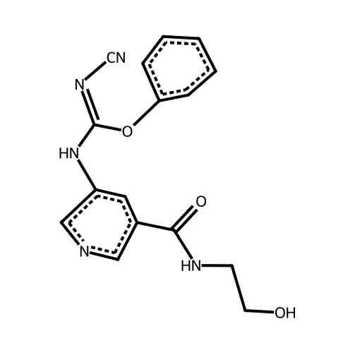 N#C/N=C(/Nc1cncc(C(=O)NCCO)c1)Oc1ccccc1